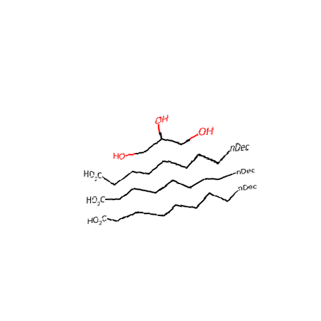 CCCCCCCCCCCCCCCCCC(=O)O.CCCCCCCCCCCCCCCCCC(=O)O.CCCCCCCCCCCCCCCCCC(=O)O.OCC(O)CO